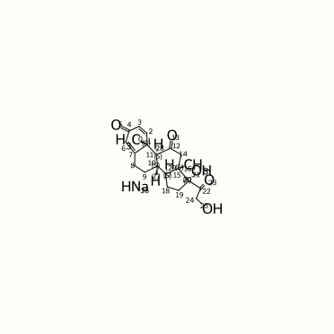 C[C@]12C=CC(=O)C=C1CC[C@@H]1[C@@H]2C(=O)C[C@@]2(C)[C@H]1CC[C@]2(O)C(=O)CO.[NaH]